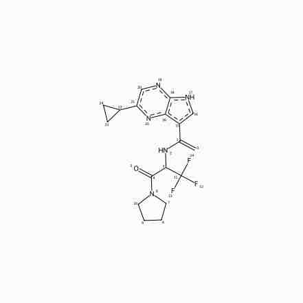 C=C(NC(C(=O)N1CCCC1)C(F)(F)F)c1c[nH]c2ncc(C3CC3)nc12